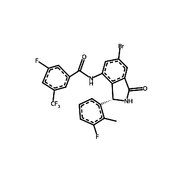 Cc1c(F)cccc1[C@H]1NC(=O)c2cc(Br)cc(NC(=O)c3cc(F)cc(C(F)(F)F)c3)c21